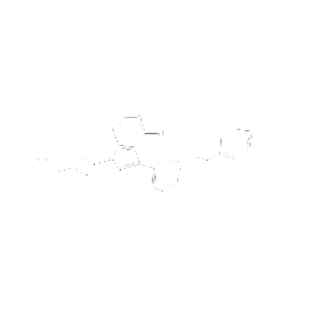 NCC1CC(n2cc(-c3cccc(OCc4ccccc4)c3)c3c(N)nccc32)C1